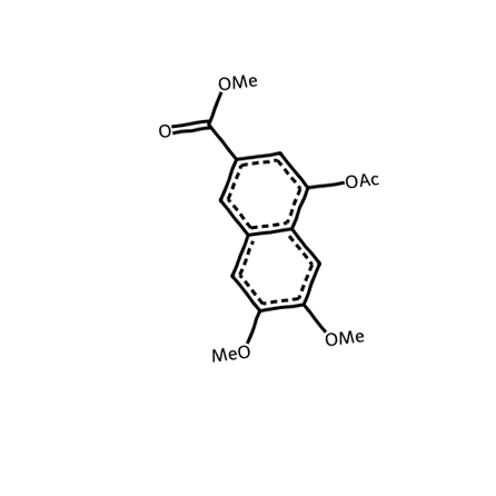 COC(=O)c1cc(OC(C)=O)c2cc(OC)c(OC)cc2c1